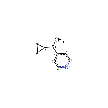 C[C](c1ccncc1)C1CC1